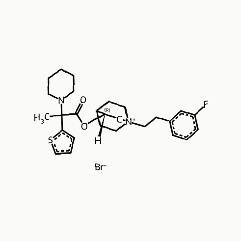 CC(C(=O)O[C@H]1C[N+]2(CCc3cccc(F)c3)CCC1CC2)(c1cccs1)N1CCCCC1.[Br-]